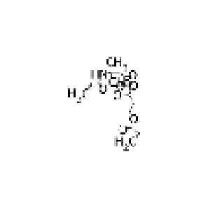 C=CC(=O)NC(C)(C)CS(=O)(=O)OC(=O)CCOC(=O)C=C